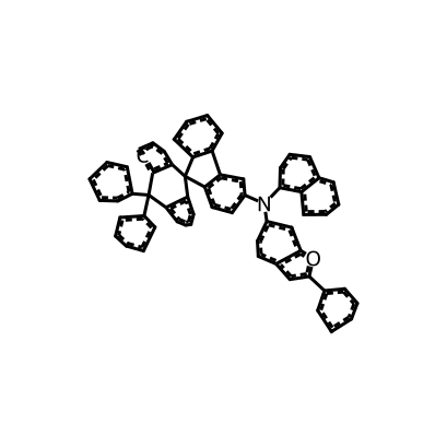 c1ccc(-c2cc3ccc(N(c4ccc5c(c4)-c4ccccc4C54c5ccccc5C(c5ccccc5)(c5ccccc5)c5ccccc54)c4cccc5ccccc45)cc3o2)cc1